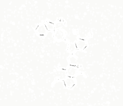 COc1cccc(OC)c1C(=O)C(=N)CC(C)(CCN1CCC(C(N)=O)(c2ccccc2)CC1)c1ccc(Cl)c(Cl)c1